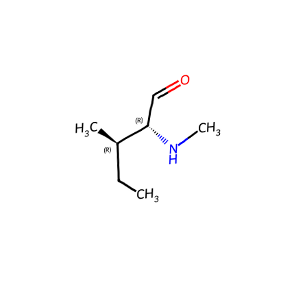 CC[C@@H](C)[C@H](C=O)NC